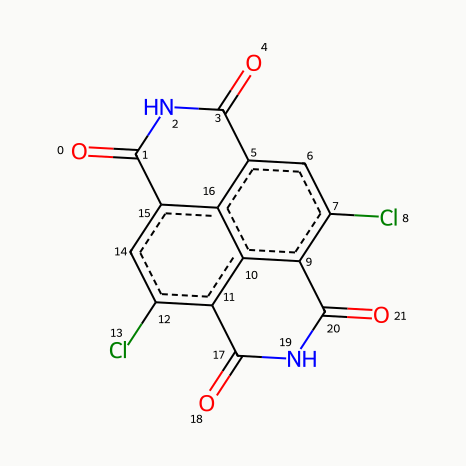 O=C1NC(=O)c2cc(Cl)c3c4c(c(Cl)cc1c24)C(=O)NC3=O